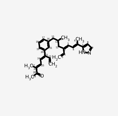 C=C/C(=C\C=C(/C)c1ccn[nH]1)CC(C)Cc1cccc(/C(C=C)=C/C=C(\C)C(C)=O)c1